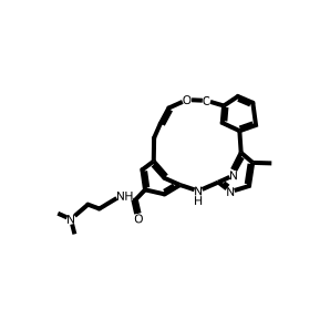 Cc1cnc2nc1-c1cccc(c1)CO/C=C\Cc1cc(cc(C(=O)NCCN(C)C)c1)N2